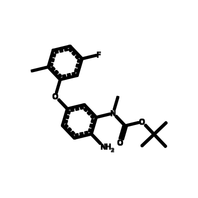 Cc1ccc(F)cc1Oc1ccc(N)c(N(C)C(=O)OC(C)(C)C)c1